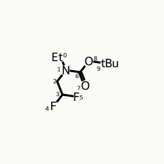 CCN(CC(F)F)C(=O)OC(C)(C)C